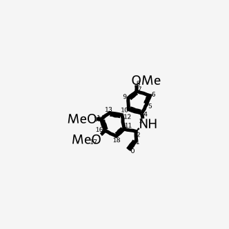 C=C[C@@H](Nc1ccc(OC)cc1)c1ccc(OC)c(OC)c1